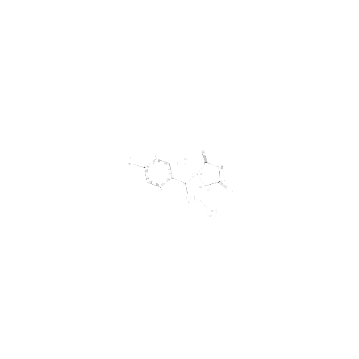 CC(c1ccc(Br)cc1)[C@@]1(C)C(=O)NC(=O)[C@@H]1CO